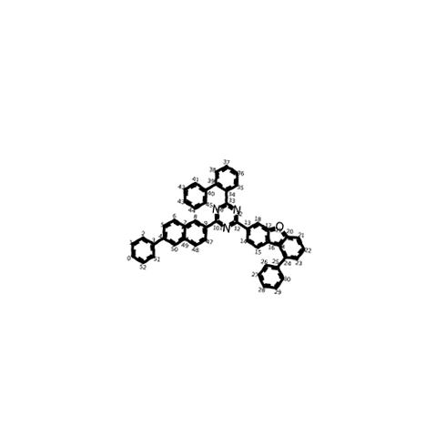 c1ccc(-c2ccc3cc(-c4nc(-c5ccc6c(c5)oc5cccc(-c7ccccc7)c56)nc(-c5ccccc5-c5ccccc5)n4)ccc3c2)cc1